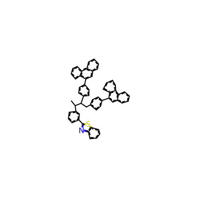 CC(c1cccc(-c2nc3ccccc3s2)c1)C(Cc1ccc(-c2cc3ccccc3c3ccccc23)cc1)c1ccc(-c2cc3ccccc3c3ccccc23)cc1